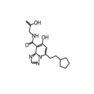 C=C(O)CNC(=O)c1c(O)cc(CCC2CCCC2)n2ncnc12